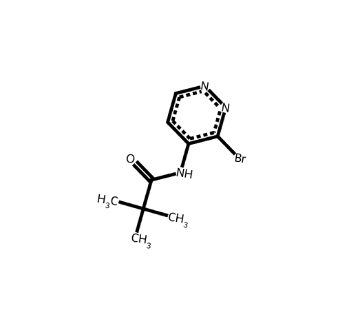 CC(C)(C)C(=O)Nc1ccnnc1Br